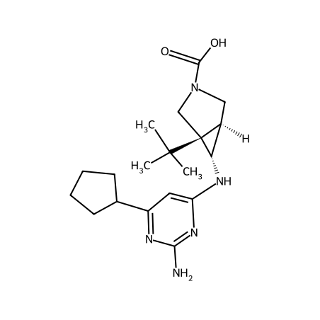 CC(C)(C)[C@@]12CN(C(=O)O)C[C@H]1[C@@H]2Nc1cc(C2CCCC2)nc(N)n1